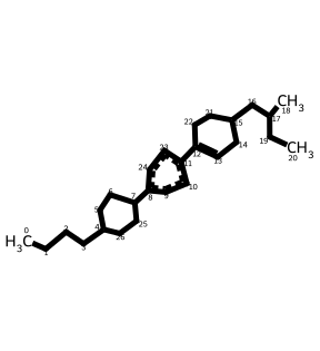 CCCCC1CCC(c2ccc(C3=CCC(CC(C)CC)CC3)cc2)CC1